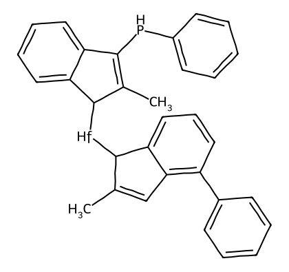 CC1=Cc2c(-c3ccccc3)cccc2[CH]1[Hf][CH]1C(C)=C(Pc2ccccc2)c2ccccc21